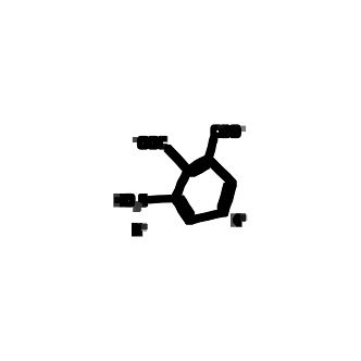 O=C([O-])c1cccc(S(=O)(=O)O)c1C(=O)[O-].[K+].[K+]